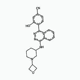 N#Cc1ccc(-c2nnc(NC3CCCN(C4COC4)C3)c3ccccc23)c(O)c1